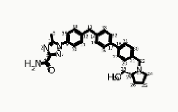 Cc1nc(C(N)=O)nn1-c1ccc(Cc2ccc(-c3ccc(CN4CCC[C@H]4CO)cc3)cc2)cc1